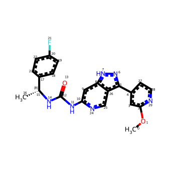 COc1cc(-c2n[nH]c3cc(NC(=O)N[C@H](C)c4ccc(F)cc4)ncc23)ccn1